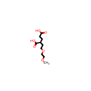 COCCOCCC(CCC(=O)O)C(=O)O